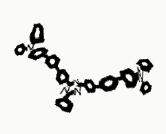 c1ccc(-c2nc(-c3ccc(-c4ccc(-c5ccc(N(c6ccccc6)c6ccccc6)cc5)cc4)cc3)nc(-c3ccc(-c4ccc(-c5ccc(N(c6ccccc6)c6ccccc6)cc5)cc4)cc3)n2)cc1